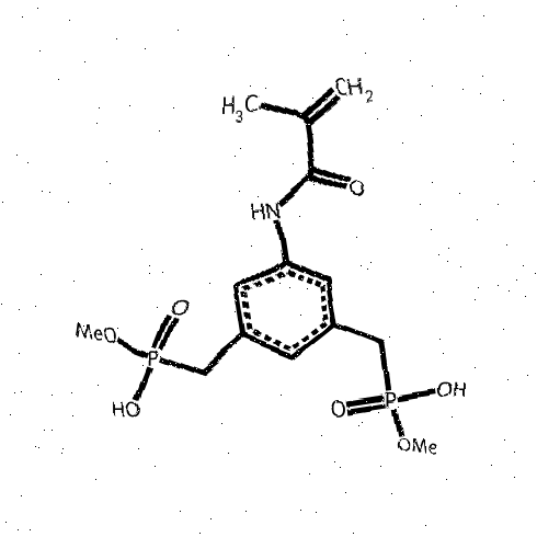 C=C(C)C(=O)Nc1cc(CP(=O)(O)OC)cc(CP(=O)(O)OC)c1